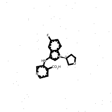 O=C(O)c1ccncc1Nc1cn([C@H]2CCOC2)c2ccc(F)cc12